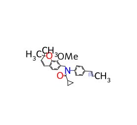 C/C=C/c1ccc(N(Cc2ccc3c(c2OC)OC(C)(C)C=C3)C(=O)C2CC2)cc1